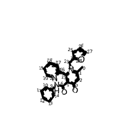 Cc1cc(=O)c(C(=O)Nc2ccccc2)c(-c2ccccn2)n1Cc1ccco1